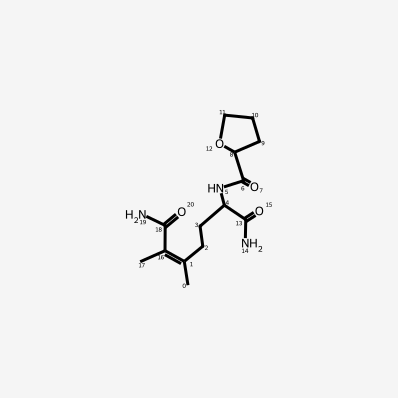 CC(CCC(NC(=O)C1CCCO1)C(N)=O)=C(C)C(N)=O